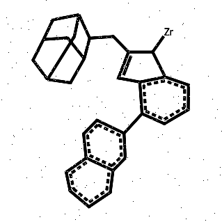 [Zr][CH]1C(CC2C3CC4CC(C3)CC2C4)=Cc2c(-c3ccc4ccccc4c3)cccc21